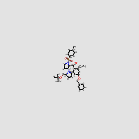 COc1cc(OCc2ccccc2)ccc1C(O)c1c(-n2cccc2CO[Si](C)(C)C(C)(C)C)ccn1S(=O)(=O)c1ccc(C)cc1